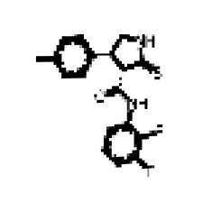 Cc1ccc([C@H]2CNC(=S)[C@@H]2C(=O)Nc2cccc(F)c2F)cc1